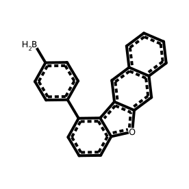 Bc1ccc(-c2cccc3oc4cc5ccccc5cc4c23)cc1